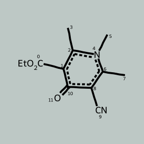 CCOC(=O)c1c(C)n(C)c(C)c(C#N)c1=O